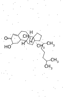 CC(C)CCCC(C)[C@H]1CC[C@H]2[C@@H]3CCC4=CC(=O)C(O)C[C@]4(C)[C@H]3CC[C@]12C